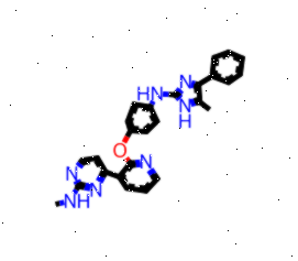 CNc1nccc(-c2cccnc2Oc2ccc(Nc3nc(-c4ccccc4)c(C)[nH]3)cc2)n1